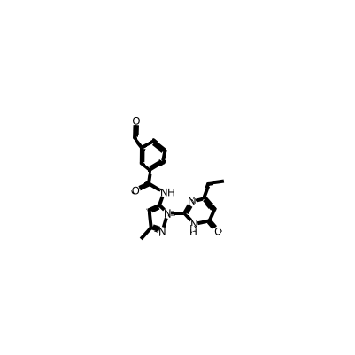 CCc1cc(=O)[nH]c(-n2nc(C)cc2NC(=O)c2cccc(C=O)c2)n1